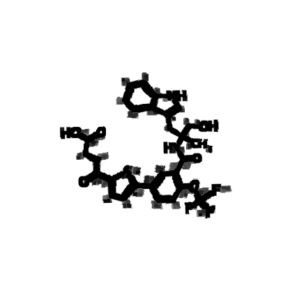 CC(CO)(Cc1c[nH]c2ccccc12)NC(=O)c1cc(-c2ccc(C(=O)CCC(=O)O)s2)ccc1OC(F)(F)F